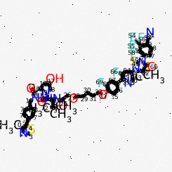 Cc1ncsc1-c1ccc(CNC(=O)[C@@H]2C[C@@H](O)CN2C(=O)[C@@H](NC(=O)COCCCCCOc2ccc(-c3ncc(N4C(=S)N(c5ccc(C#N)c(C(F)(F)F)c5F)C(=O)C4(C)C)cc3F)cc2F)C(C)(C)C)cc1